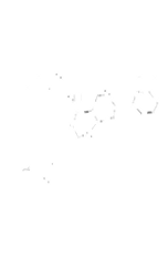 CC(C)c1c(Cl)cccc1-c1ncc2c(NCC3(N(C)C)CCC3)nc(OCC34CCCN3C[C@H](F)C4)nc2c1F